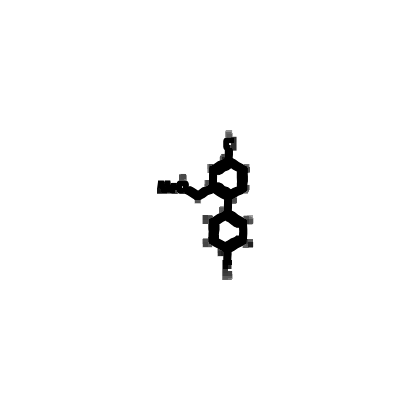 COCc1cc(Cl)ccc1-c1ccc(F)cc1